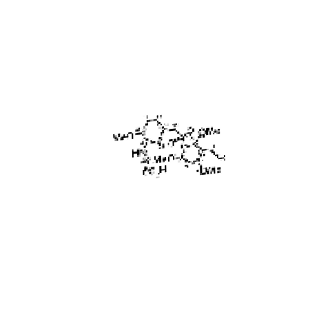 C=Cc1c(OC)cc(OC)c(S(=O)(=O)Cc2ccc(OC)c(NCC(=O)O)c2)c1OC